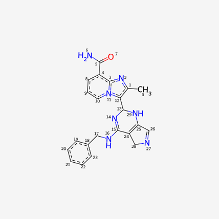 Cc1nc2c(C(N)=O)cccn2c1C1N=C(NCc2ccccc2)C2=C(C=NC2)N1